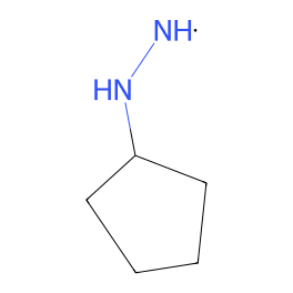 [NH]NC1CCCC1